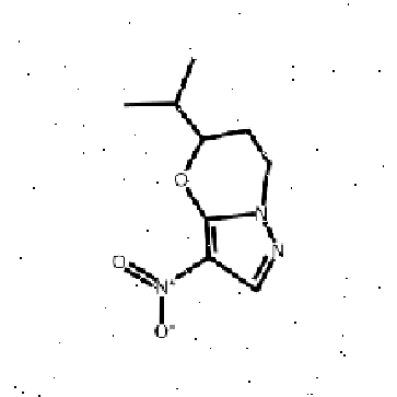 CC(C)C1CCn2ncc([N+](=O)[O-])c2O1